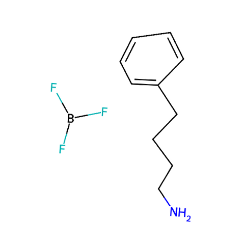 FB(F)F.NCCCCc1ccccc1